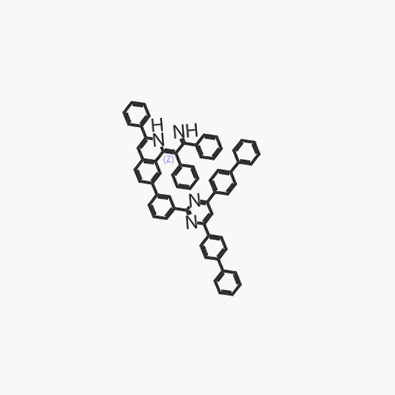 N=C(/C(=C1\NC(c2ccccc2)=Cc2ccc(-c3cccc(-c4nc(-c5ccc(-c6ccccc6)cc5)cc(-c5ccc(-c6ccccc6)cc5)n4)c3)cc21)c1ccccc1)c1ccccc1